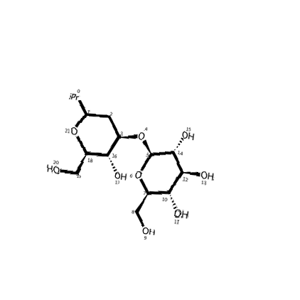 CC(C)C1C[C@@H](O[C@@H]2O[C@H](CO)[C@@H](O)[C@H](O)[C@H]2O)[C@H](O)[C@@H](CO)O1